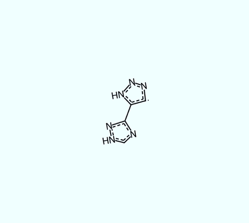 [c]1nn[nH]c1-c1nc[nH]n1